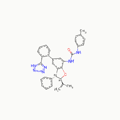 C=C(C)[C@@H]1Oc2c(NC(=O)Nc3ccc(C)cc3)cc(-c3ccccc3-c3nnn[nH]3)cc2[C@H]1c1ccccc1